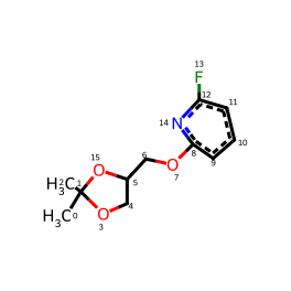 CC1(C)OCC(COc2cccc(F)n2)O1